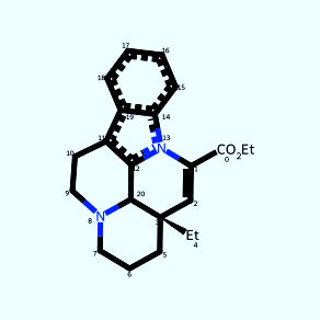 CCOC(=O)C1=C[C@]2(CC)CCCN3CCc4c(n1c1ccccc41)C32